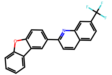 FC(F)(F)c1ccc2c[c]c(-c3ccc4oc5ccccc5c4c3)nc2c1